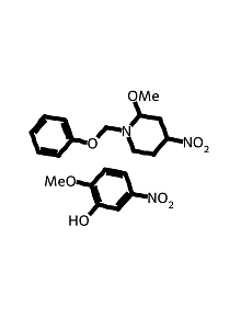 COC1CC([N+](=O)[O-])CCN1COc1ccccc1.COc1ccc([N+](=O)[O-])cc1O